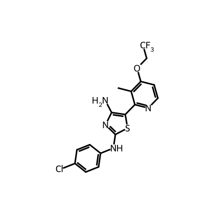 Cc1c(OCC(F)(F)F)ccnc1-c1sc(Nc2ccc(Cl)cc2)nc1N